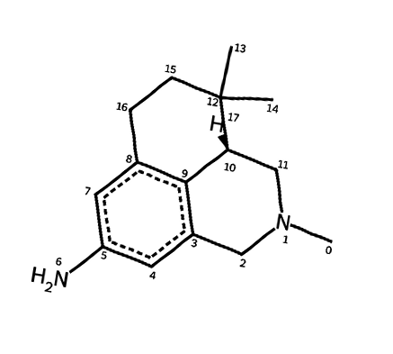 CN1Cc2cc(N)cc3c2[C@@H](C1)C(C)(C)CC3